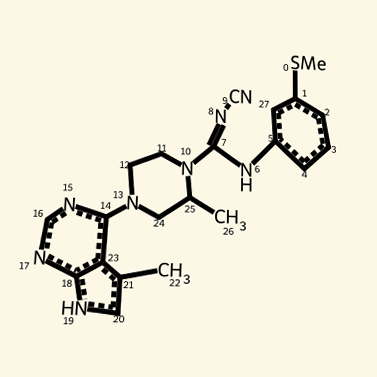 CSc1cccc(NC(=NC#N)N2CCN(c3ncnc4[nH]cc(C)c34)CC2C)c1